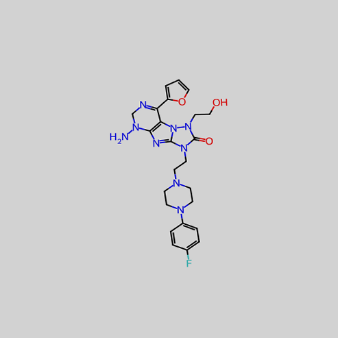 NN1CN=C(c2ccco2)c2c1nc1n(CCN3CCN(c4ccc(F)cc4)CC3)c(=O)n(CCO)n21